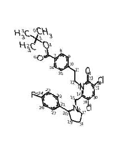 CC(C)(C)OC(=O)c1ccc(CCn2c(CN3CCCC3c3ccc(F)cc3)c(Cl)cc(Cl)c2=O)cc1